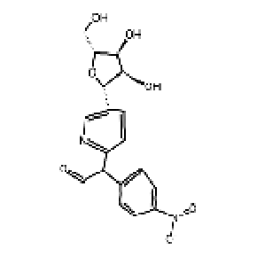 O=CC(c1ccc([N+](=O)[O-])cc1)c1ccc([C@@H]2O[C@H](CO)[C@@H](O)[C@H]2O)cn1